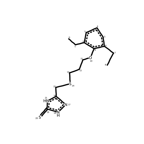 CCc1cccc(CC)c1OCCCSCc1n[nH]c(=S)[nH]1